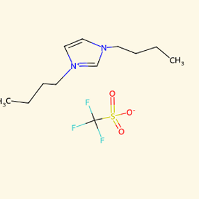 CCCCn1cc[n+](CCCC)c1.O=S(=O)([O-])C(F)(F)F